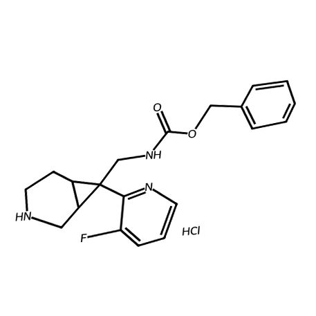 Cl.O=C(NCC1(c2ncccc2F)C2CCNCC21)OCc1ccccc1